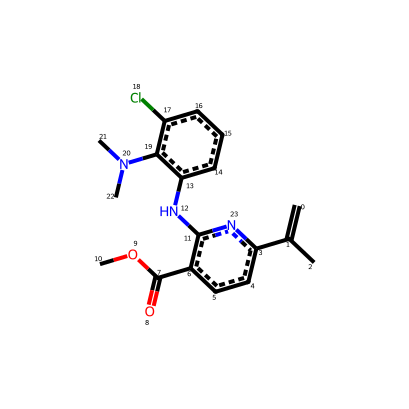 C=C(C)c1ccc(C(=O)OC)c(Nc2cccc(Cl)c2N(C)C)n1